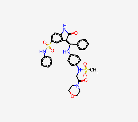 CS(=O)(=O)N(CC(=O)N1CCOCC1)c1ccc(NC(=C2C(=O)Nc3ccc(S(=O)(=O)Nc4ccccc4)cc32)c2ccccc2)cc1